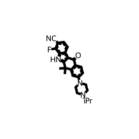 CC(C)N1CCN(c2ccc3c(c2)C(C)(C)c2[nH]c4c(F)c(C#N)ccc4c2C3=O)CC1